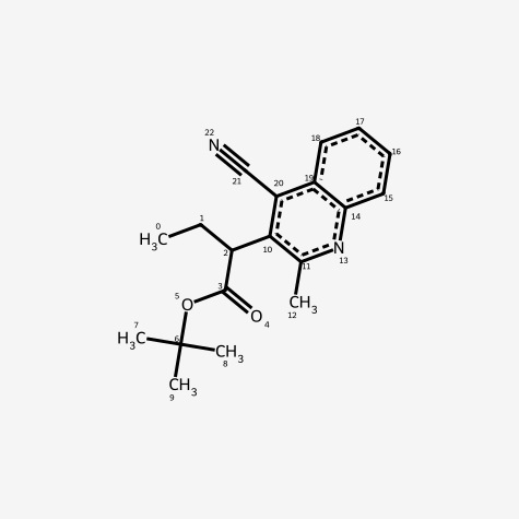 CCC(C(=O)OC(C)(C)C)c1c(C)nc2ccccc2c1C#N